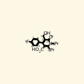 CC(C)c1c(C(=O)O)c(-c2ccc(F)cc2)c(CO)c(=O)n1C(C)C